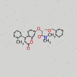 Cc1ccccc1-c1cc(=O)oc2cc(O[C@H](COCc3ccccc3)C(=O)N(C)C)ccc12